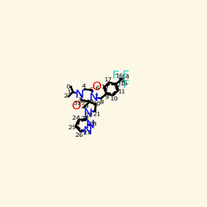 CC(C)N1CC(=O)N(Cc2ccc(C(F)(F)F)cc2)C2(CCN(c3cccnn3)C2)C1=O